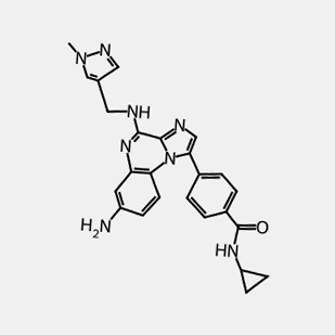 Cn1cc(CNc2nc3cc(N)ccc3n3c(-c4ccc(C(=O)NC5CC5)cc4)cnc23)cn1